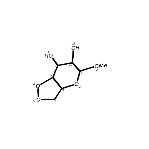 COC1OC2COOC2C(O)C1O